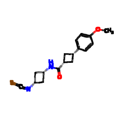 COc1ccc([C@H]2C[C@@H](C(=O)N[C@H]3C[C@@H](N=C=S)C3)C2)cc1